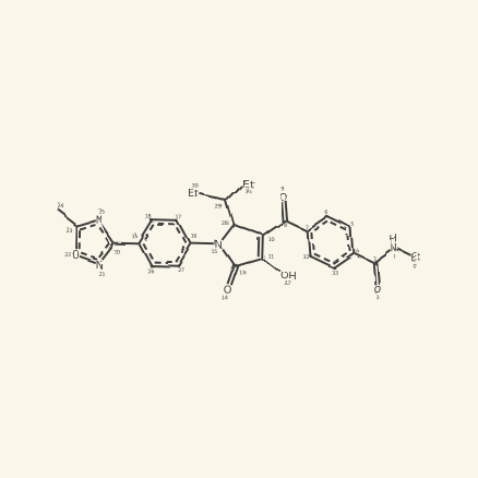 CCNC(=O)c1ccc(C(=O)C2=C(O)C(=O)N(c3ccc(-c4noc(C)n4)cc3)C2C(CC)CC)cc1